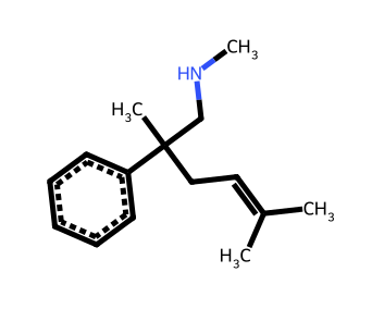 CNCC(C)(CC=C(C)C)c1ccccc1